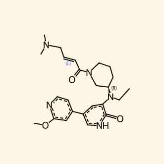 CCN(c1cc(-c2ccnc(OC)c2)c[nH]c1=O)[C@@H]1CCCN(C(=O)/C=C/CN(C)C)C1